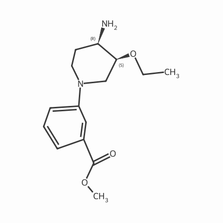 CCO[C@H]1CN(c2cccc(C(=O)OC)c2)CC[C@H]1N